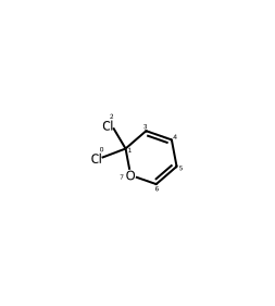 ClC1(Cl)C=CC=CO1